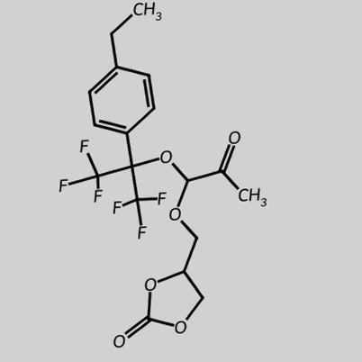 CCc1ccc(C(OC(OCC2COC(=O)O2)C(C)=O)(C(F)(F)F)C(F)(F)F)cc1